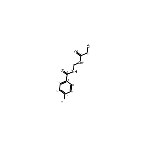 O=[C](CCl)[Sn][CH2]NC(=O)c1ccc(I)cc1